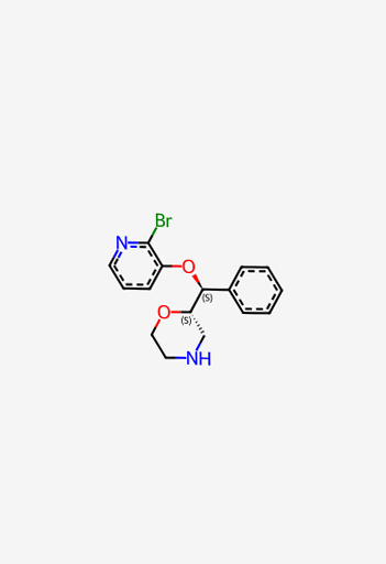 Brc1ncccc1O[C@@H](c1ccccc1)[C@@H]1CNCCO1